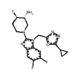 N[C@@H]1CN(c2nc3cc(F)c(F)cc3n2Cc2nnc(C3CC3)o2)CC[C@H]1F